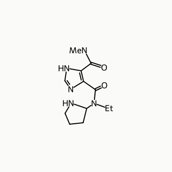 CCN(C(=O)c1nc[nH]c1C(=O)NC)C1CCCN1